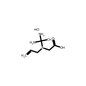 C=CCN(CC(=O)O)C(C)(N)N.Cl